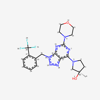 C[C@@]1(O)CCN(c2nc(N3CCOCC3)nc3c2nnn3Cc2ccccc2C(F)(F)F)C1